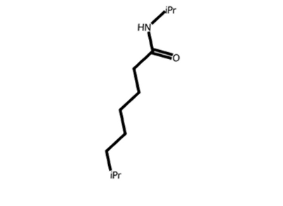 CC(C)CCCCCC(=O)NC(C)C